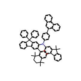 CC1(C)CCC(C)(C)c2c(-c3cc4c(cc3N(c3ccc(-c5cc6ccccc6c6ccccc56)cc3)c3ccc5c(c3)C(C)(C)c3ccccc3-5)C(c3ccccc3)(c3ccccc3)c3ccccc3-4)cccc21